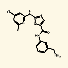 Cc1nc(Cl)cc(Nc2ncc(C(=O)Nc3cccc(CN)c3)s2)n1